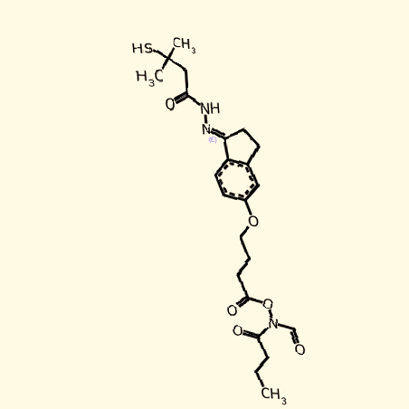 CCCC(=O)N(C=O)OC(=O)CCCOc1ccc2c(c1)CC/C2=N\NC(=O)CC(C)(C)S